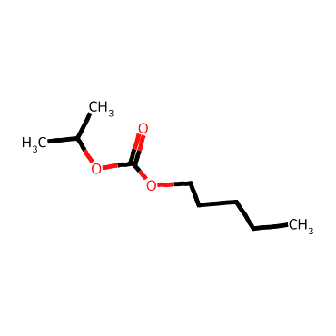 CCCCCOC(=O)OC(C)C